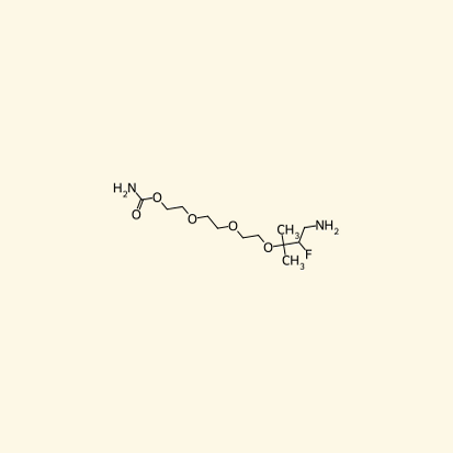 CC(C)(OCCOCCOCCOC(N)=O)C(F)CN